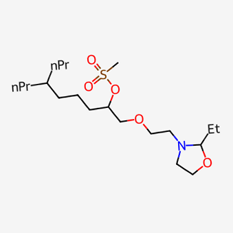 CCCC(CCC)CCCC(COCCN1CCOC1CC)OS(C)(=O)=O